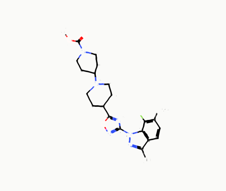 COc1ccc2c(C(C)C)nn(-c3noc(C4CCN(C5CCN(C(=O)OC(C)(C)C)CC5)CC4)n3)c2c1F